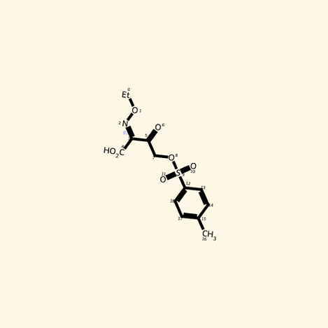 CCO/N=C(/C(=O)O)C(=O)COS(=O)(=O)c1ccc(C)cc1